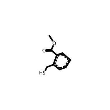 COC(=O)c1ccccc1CS